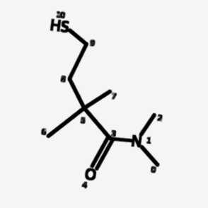 CN(C)C(=O)C(C)(C)CCS